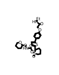 CCNC(=O)COc1ccc(-c2ccc([C@@]3(CC(=O)NOC4CCCCO4)CCCCS3(=O)=O)s2)cc1